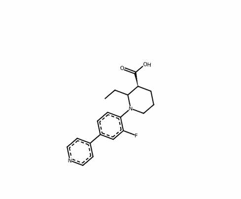 CCC1[C@@H](C(=O)O)CCCN1c1ccc(-c2ccncc2)cc1F